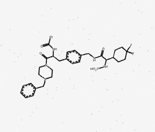 CCC(=O)NC(Cc1ccc(CNC(=O)C(NC(=O)O)C2CCC(F)(F)CC2)cc1)C(=O)N1CCN(Cc2ccccc2)CC1